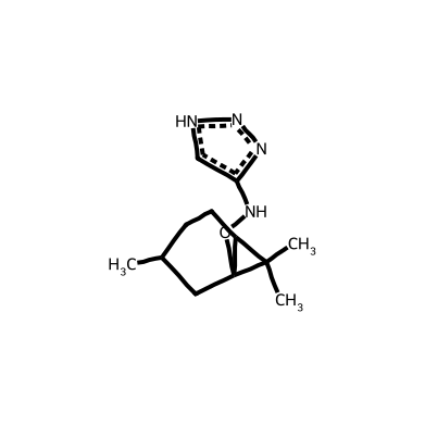 CC1CCC2C(C)(C)C2(ONc2c[nH]nn2)C1